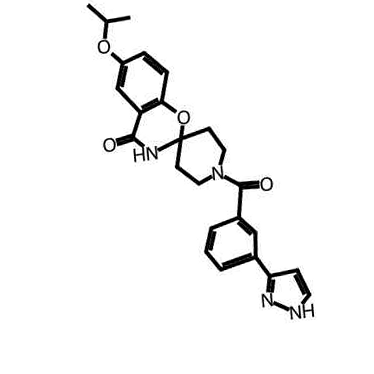 CC(C)Oc1ccc2c(c1)C(=O)NC1(CCN(C(=O)c3cccc(-c4cc[nH]n4)c3)CC1)O2